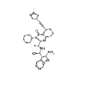 C[C@H](NC(=O)c1c(N)nn2cnncc12)c1nc2cccc(C#Cc3cnn(C)c3)c2c(=O)n1-c1ccccc1